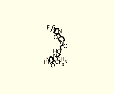 CC(COCCC(=O)N1CCC2c3ncc(C(F)(F)F)cc3OC2C1)Nc1cn[nH]c(=O)c1C(F)(F)F